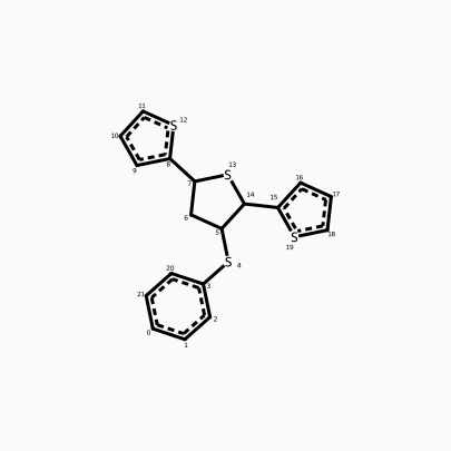 c1ccc(SC2CC(c3cccs3)SC2c2cccs2)cc1